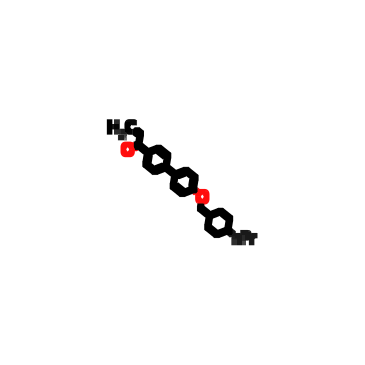 C=CC(=O)c1ccc(-c2ccc(OCC3CCC(CCC)CC3)cc2)cc1